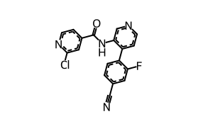 N#Cc1ccc(-c2ccncc2NC(=O)c2ccnc(Cl)c2)c(F)c1